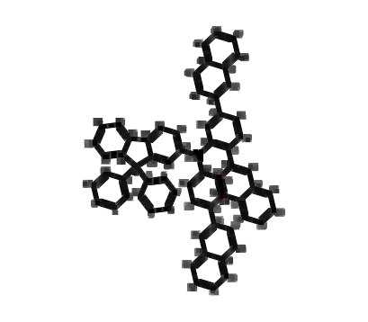 c1ccc(C2(c3ccccc3)c3ccccc3-c3ccc(N(c4ccc(-c5ccc6ccccc6c5)cc4)c4cc(-c5ccc6ccccc6c5)ccc4-c4ccc5ccccc5c4)cc32)cc1